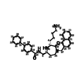 NCCCC[C@H]1N[C@H](CNC(=O)c2ccc(-c3ccccc3)cc2)CCN(Cc2ccc3ccccc3c2)C1=O